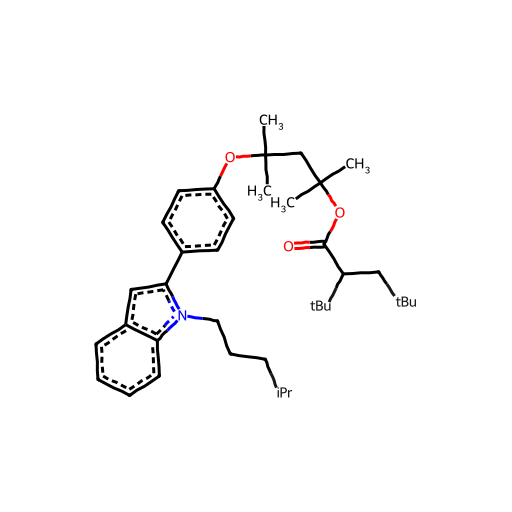 CC(C)CCCn1c(-c2ccc(OC(C)(C)CC(C)(C)OC(=O)C(CC(C)(C)C)C(C)(C)C)cc2)cc2ccccc21